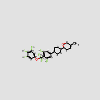 CC1CCC(C2CCC(c3cc(F)c(C(F)(F)Oc4cc(F)c(F)c(F)c4)c(F)c3)CC2)OC1